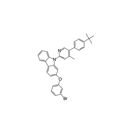 Cc1cc(-n2c3ccccc3c3ccc(Oc4cccc(Br)c4)cc32)ncc1-c1ccc(C(C)(C)C)cc1